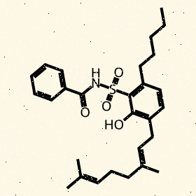 CCCCCc1ccc(C/C=C(\C)CCC=C(C)C)c(O)c1S(=O)(=O)NC(=O)c1ccccc1